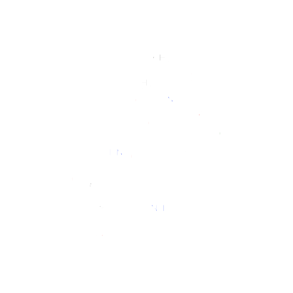 CON(C)S(=O)(=O)c1c(Cl)ccc(Nc2c(NCc3ccc(C)o3)c(=O)c2=O)c1O